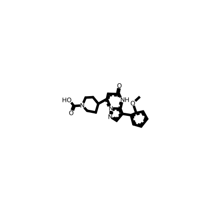 COc1ccccc1-c1cnn2c(C3CCN(C(=O)O)CC3)cc(=O)[nH]c12